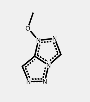 COn1ncn2nncc12